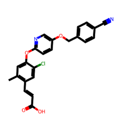 Cc1cc(Oc2ccc(OCc3ccc(C#N)cc3)cn2)c(Cl)cc1/C=C/C(=O)O